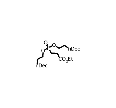 CCCCCCCCCCCCOP(=O)(CCC(=O)OCC)OCCCCCCCCCCCC